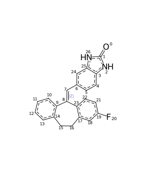 O=c1[nH]c2ccc(/C=C3/c4ccccc4CCc4cc(F)ccc43)cc2[nH]1